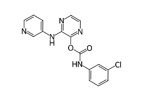 O=C(Nc1cccc(Cl)c1)Oc1nccnc1Nc1cccnc1